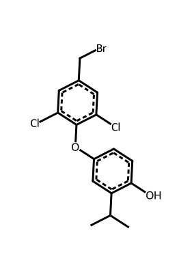 CC(C)c1cc(Oc2c(Cl)cc(CBr)cc2Cl)ccc1O